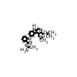 COCc1c(C(=O)OC(C)C)ncc2[nH]c3ccc(Oc4ccccc4C(=O)OC(C)C)cc3c12